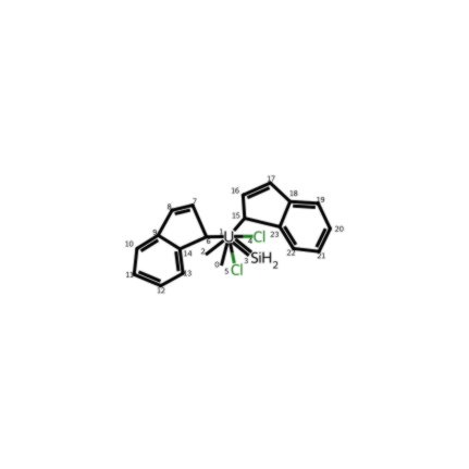 [CH3][U]([CH3])(=[SiH2])([Cl])([Cl])([CH]1C=Cc2ccccc21)[CH]1C=Cc2ccccc21